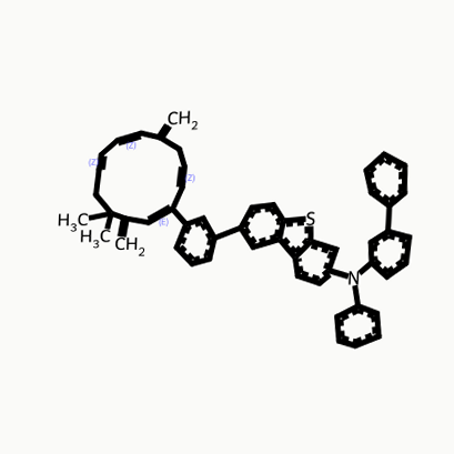 C=C1/C=C\C=C/CC(C)(C)C(=C)/C=C(c2cccc(-c3ccc4sc5cc(N(c6ccccc6)c6cccc(-c7ccccc7)c6)ccc5c4c3)c2)\C=C/C1